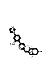 C[C@@H]1C[C@@]2(C)C/C(=C/c3ncc(-c4ccc(-n5ccnc5)cc4O)nn3)[C@@H](F)[C@@](C)(C1)N2